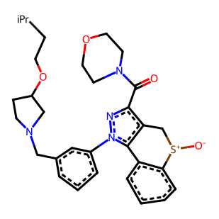 CC(C)CCOC1CCN(Cc2cccc(-n3nc(C(=O)N4CCOCC4)c4c3-c3ccccc3[S+]([O-])C4)c2)C1